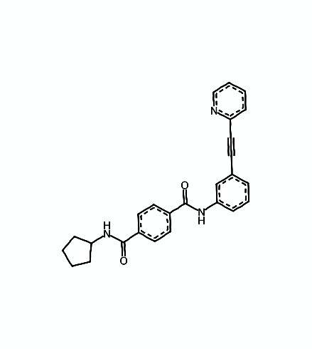 O=C(Nc1cccc(C#Cc2ccccn2)c1)c1ccc(C(=O)NC2CCCC2)cc1